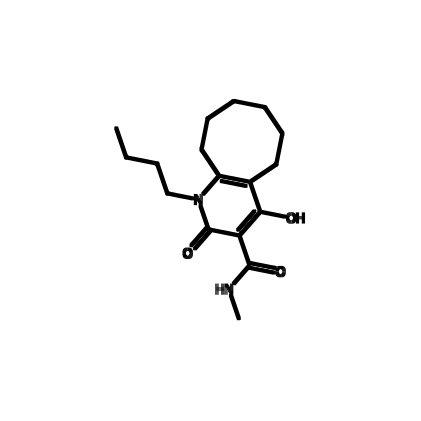 CCCCn1c2c(c(O)c(C(=O)NC)c1=O)CCCCCC2